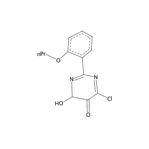 CCCOc1ccccc1C1=NC(O)C(=O)C(Cl)=N1